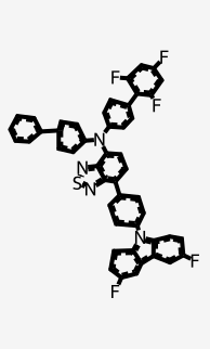 Fc1cc(F)c(-c2ccc(N(c3ccc(-c4ccccc4)cc3)c3ccc(-c4ccc(-n5c6ccc(F)cc6c6cc(F)ccc65)cc4)c4nsnc34)cc2)c(F)c1